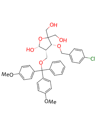 COc1ccc(C(OC[C@@H]2[C@H](O)OC(CO)(CO)[C@@H]2OCc2ccc(Cl)cc2)(c2ccccc2)c2ccc(OC)cc2)cc1